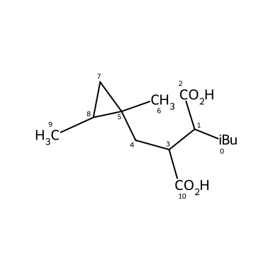 CCC(C)C(C(=O)O)C(CC1(C)CC1C)C(=O)O